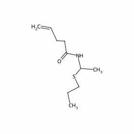 C=CCCC(=O)NC(C)SCCC